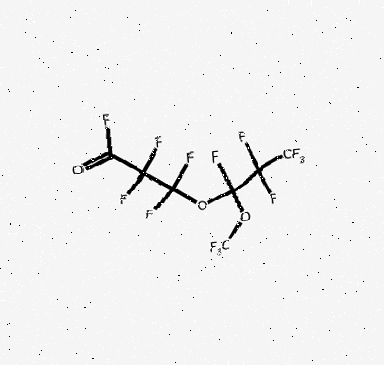 O=C(F)C(F)(F)C(F)(F)OC(F)(OC(F)(F)F)C(F)(F)C(F)(F)F